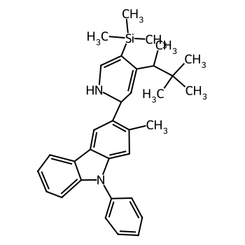 Cc1cc2c(cc1C1C=C(C(C)C(C)(C)C)C([Si](C)(C)C)=CN1)c1ccccc1n2-c1ccccc1